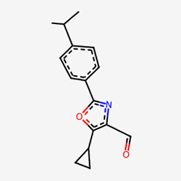 CC(C)c1ccc(-c2nc(C=O)c(C3CC3)o2)cc1